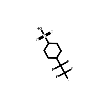 O=S(=O)(O)C1CCC(C(F)(F)C(F)(F)F)CC1